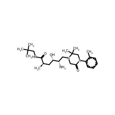 Cc1ccccc1N1CC(C)(C)N(C[C@H](N)[C@@H](O)C[C@@H](C)C(=O)NCC(C)(C)C)CC1=O